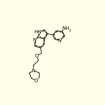 Nc1cncc(-c2c[nH]c3ncc(COCCN4CCOCC4)cc23)c1